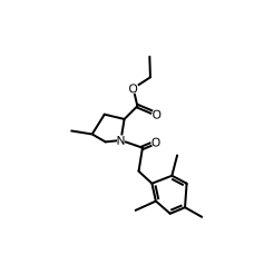 CCOC(=O)C1CC(C)CN1C(=O)Cc1c(C)cc(C)cc1C